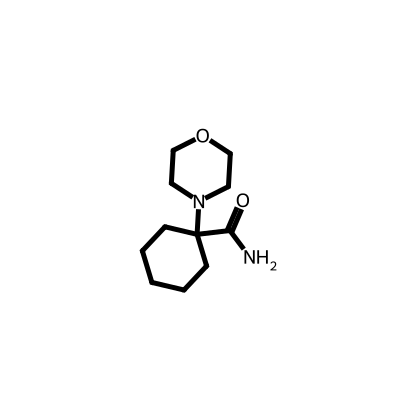 NC(=O)C1(N2CCOCC2)CCCCC1